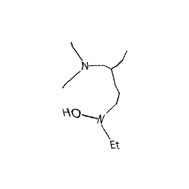 CCN(O)CC(C)N(C)C